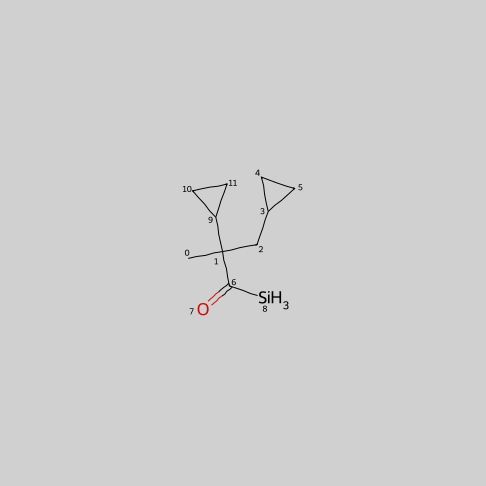 CC(CC1CC1)(C(=O)[SiH3])C1CC1